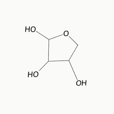 OC1COC(O)C1O